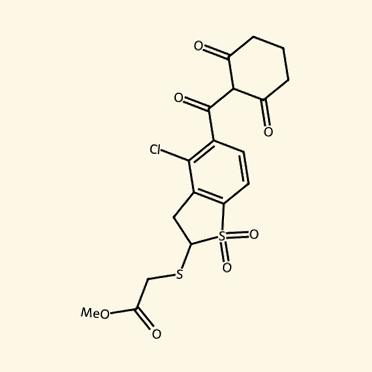 COC(=O)CSC1Cc2c(ccc(C(=O)C3C(=O)CCCC3=O)c2Cl)S1(=O)=O